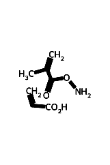 C=C(C)C(=O)ON.C=CC(=O)O